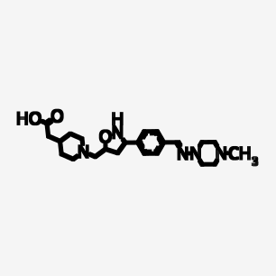 CN1CCN(N=Cc2ccc(C3CC(CN4CCC(CC(=O)O)CC4)ON3)cc2)CC1